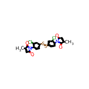 CC1=CC(=O)N(c2ccc(SSc3ccc(N4C(=O)C=C(C)C4=O)c(Cl)c3)cc2Cl)C1=O